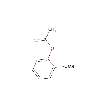 COc1ccccc1OC(C)=S